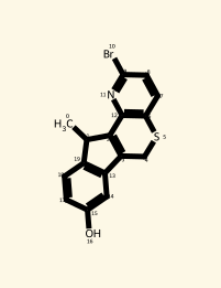 CC1C2=C(CSc3ccc(Br)nc32)c2cc(O)ccc21